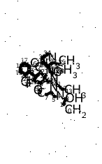 C=CC(O)N1CC2CCOc3c(F)c(-c4c(O)cccc4Cl)cc4c3c(nc(=O)n4-c3c(C)ccnc3C(C)C)N2CC1C